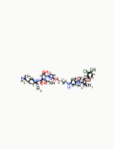 Cc1ncsc1-c1ccc([C@H](C)NC(=O)[C@@H]2C[C@@H](O)CN2C(=O)[C@@H](C(C)C)n2nccc2OCCCCCNc2ccc(C(=O)NC3C(C)(C)C(Oc4ccc(C#N)c(Cl)c4)C3(C)C)cc2)cc1